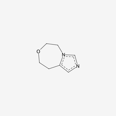 c1ncn2c1CCOCC2